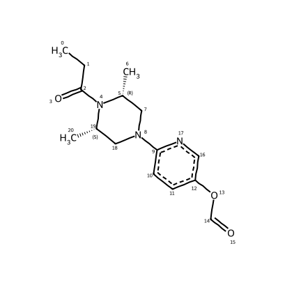 CCC(=O)N1[C@H](C)CN(c2ccc(OC=O)cn2)C[C@@H]1C